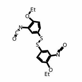 CCOc1ccc(SSc2ccc(OCC)c(N=C=O)c2)cc1N=C=O